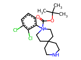 CC(C)(C)OC(=O)[N+]1(c2cccc(Cl)c2Cl)CCC2(CCNCC2)CC1